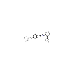 Cn1cc(-c2ccncc2/C=C/C(=O)Nc2ccc(CCN3CCOCC3)cc2)cn1